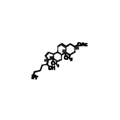 CC(=O)O[C@H]1CC[C@@]2(C)C(=CCC3C2CC[C@@]2(C)C3CC[C@@H]2C(O)CCCC(C)C)C1